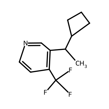 CC(c1cnccc1C(F)(F)F)C1CCC1